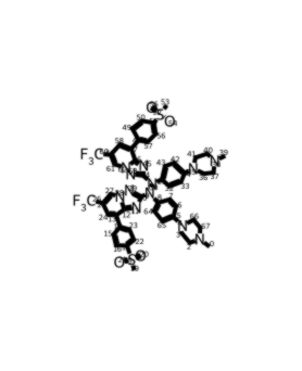 CN1CCN(c2ccc(N(c3nc4c(-c5ccc(S(C)(=O)=O)cc5)cc(C(F)(F)F)cn4n3)N(c3ccc(N4CCN(C)CC4)cc3)c3nc4c(-c5ccc(S(C)(=O)=O)cc5)cc(C(F)(F)F)cn4n3)cc2)CC1